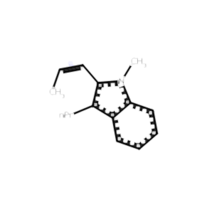 C/C=C\c1c(CCC)c2ccccc2n1C